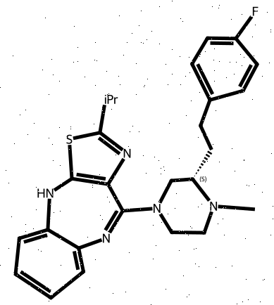 CC(C)c1nc2c(s1)Nc1ccccc1N=C2N1CCN(C)[C@@H](CCc2ccc(F)cc2)C1